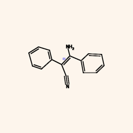 N#C/C(=C(/N)c1ccccc1)c1ccccc1